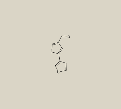 O=Cc1csc(-c2ccoc2)c1